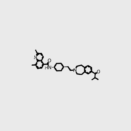 Cc1ccc2c(C(=O)N[C@H]3CC[C@H](CCN4CCc5ccc(C(=O)C(C)C)cc5CC4)CC3)ccc(C)c2n1